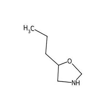 CCCC1CNCO1